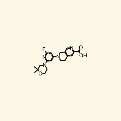 CC1(C)CN(c2cc(N3CCc4cc(C(=O)O)ncc4C3)cc(F)n2)CCO1